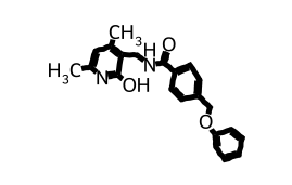 Cc1cc(C)c(CNC(=O)c2ccc(COc3ccccc3)cc2)c(O)n1